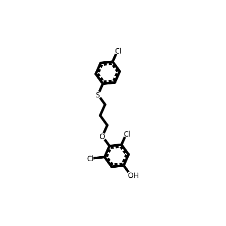 Oc1cc(Cl)c(OCCCSc2ccc(Cl)cc2)c(Cl)c1